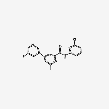 Cc1cc(-c2cncc(F)c2)cc(C(=O)Nc2cccc(Cl)c2)n1